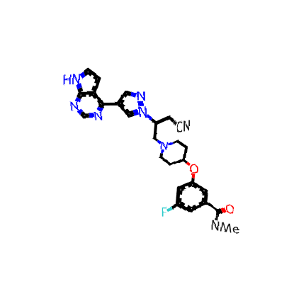 CNC(=O)c1cc(F)cc(OC2CCN(CC(CC#N)n3cc(-c4ncnc5[nH]ccc45)cn3)CC2)c1